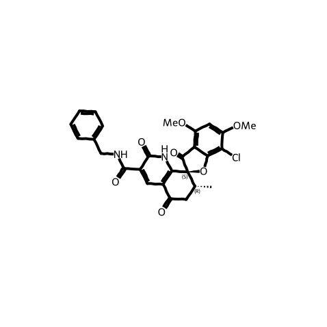 COc1cc(OC)c2c(c1Cl)O[C@]1(C2=O)c2[nH]c(=O)c(C(=O)NCc3ccccc3)cc2C(=O)C[C@H]1C